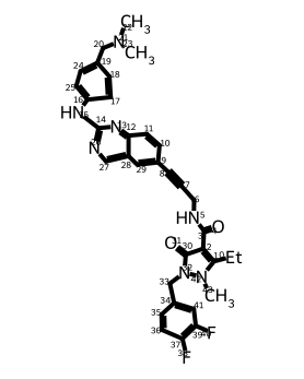 CCc1c(C(=O)NCC#Cc2ccc3nc(Nc4ccc(CN(C)C)cc4)ncc3c2)c(=O)n(Cc2ccc(F)c(F)c2)n1C